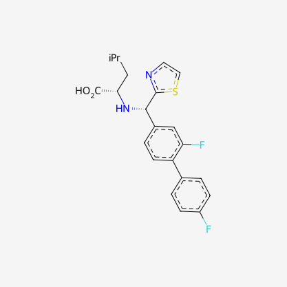 CC(C)C[C@H](N[C@@H](c1ccc(-c2ccc(F)cc2)c(F)c1)c1nccs1)C(=O)O